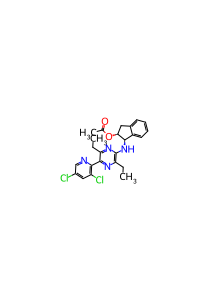 CCc1nc(-c2ncc(Cl)cc2Cl)c(CC)nc1N[C@@H]1c2ccccc2C[C@@H]1OC(C)=O